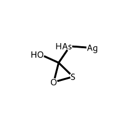 OC1([AsH][Ag])OS1